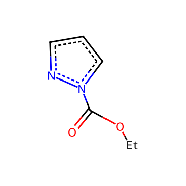 CCOC(=O)n1cccn1